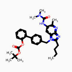 CCCCc1nc2nc(C)c(NC(=O)N(C)C)cc2n1Cc1ccc(-c2ccccc2OC(=O)OC(C)(C)C)cc1